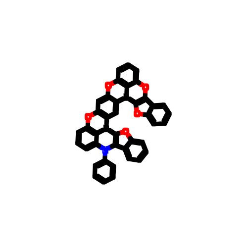 c1ccc(N2c3cccc4c3B(c3cc5c(cc3O4)Oc3cccc4c3B5c3oc5ccccc5c3O4)c3oc4ccccc4c32)cc1